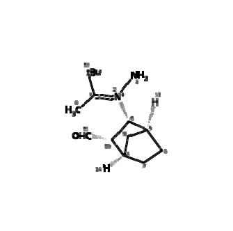 C/C(=[N+](/N)[C@@H]1[C@H]2CC[C@H](C2)[C@@H]1C=O)C(C)(C)C